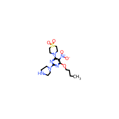 CCCCOc1nc(N2CCNCC2)nc(N2CCS(=O)(=O)CC2)c1[N+](=O)[O-]